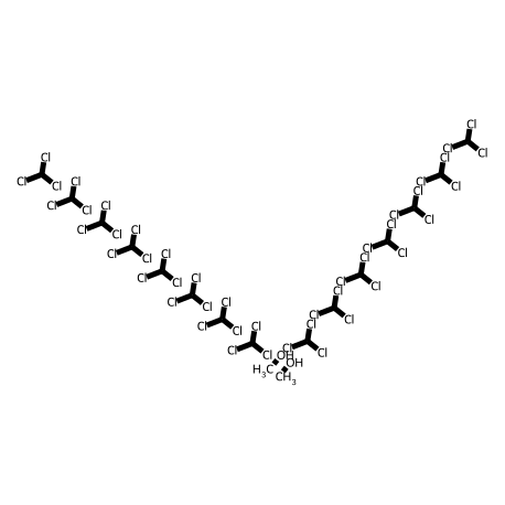 CO.CO.ClC(Cl)Cl.ClC(Cl)Cl.ClC(Cl)Cl.ClC(Cl)Cl.ClC(Cl)Cl.ClC(Cl)Cl.ClC(Cl)Cl.ClC(Cl)Cl.ClC(Cl)Cl.ClC(Cl)Cl.ClC(Cl)Cl.ClC(Cl)Cl.ClC(Cl)Cl.ClC(Cl)Cl.ClC(Cl)Cl